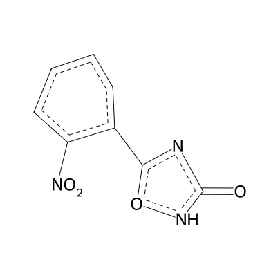 O=c1nc(-c2ccccc2[N+](=O)[O-])o[nH]1